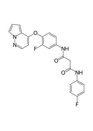 O=C(CC(=O)Nc1ccc(Oc2ccnn3cccc23)c(F)c1)Nc1ccc(F)cc1